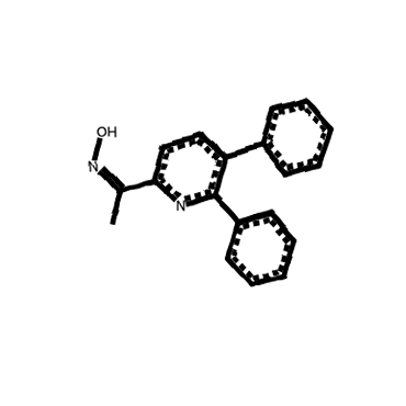 C/C(=N/O)c1ccc(-c2ccccc2)c(-c2ccccc2)n1